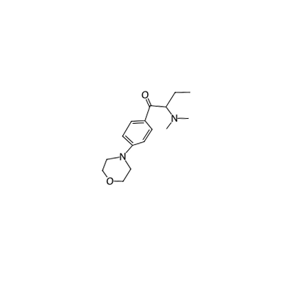 CCC(C(=O)c1ccc(N2CCOCC2)cc1)N(C)C